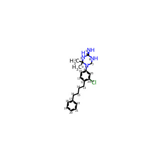 CC1(C)NC(=N)NCN1c1ccc(CCCCc2ccccc2)c(Cl)c1